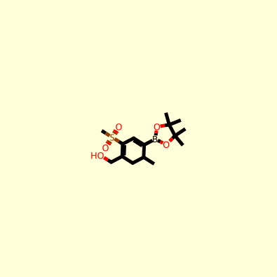 CC1CC(CO)=C(S(C)(=O)=O)C=C1B1OC(C)(C)C(C)(C)O1